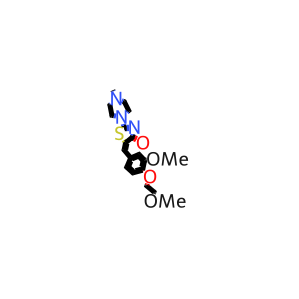 COCCOc1ccc(C=C2SC(N3CCN(C)CC3)=NC2=O)cc1OC